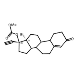 C#C[C@]1(OC(=O)OC)CCC2C3CCC4=CC(=O)CCC4C3CC[C@@]21CC